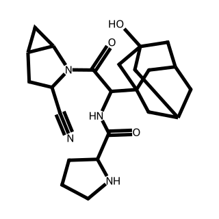 N#CC1CC2CC2N1C(=O)C(NC(=O)C1CCCN1)C12CC3CC(CC(O)(C3)C1)C2